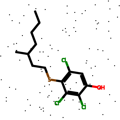 CCCCC(C)CCSc1c(Cl)cc(O)c(Cl)c1Cl